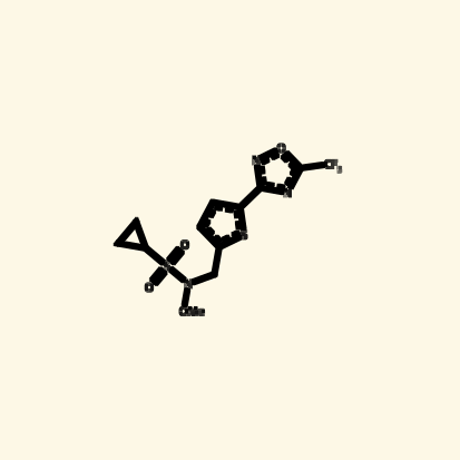 CON(Cc1ccc(-c2noc(C(F)(F)F)n2)s1)S(=O)(=O)C1CC1